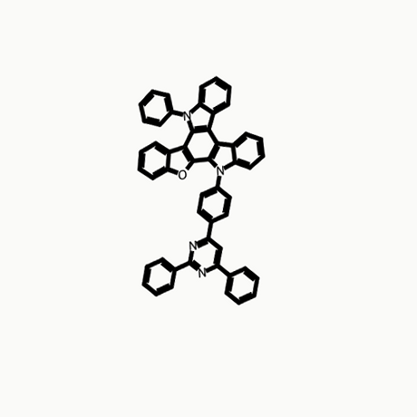 c1ccc(-c2cc(-c3ccc(-n4c5ccccc5c5c6c7ccccc7n(-c7ccccc7)c6c6c7ccccc7oc6c54)cc3)nc(-c3ccccc3)n2)cc1